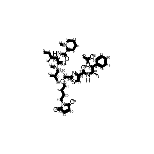 CC[C@H](C)[C@H](NC(=O)[C@H]1CCCCN1C)C(=O)N(C)[C@H](C[C@@H](OCCCCN1C(=O)C=CC1=O)c1nc(C(=O)N[C@H](C)C(OC(C)=O)c2ccccc2)cs1)C(C)C